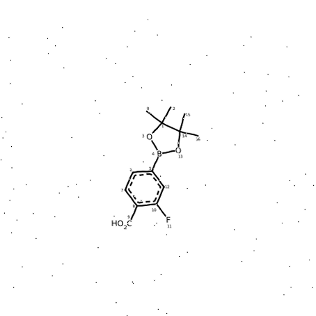 CC1(C)OB(c2ccc(C(=O)O)c(F)c2)OC1(C)C